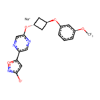 [Na+].[O-]c1cc(-c2cnc(O[C@H]3C[C@H](Oc4cccc(OC(F)(F)F)c4)C3)cn2)on1